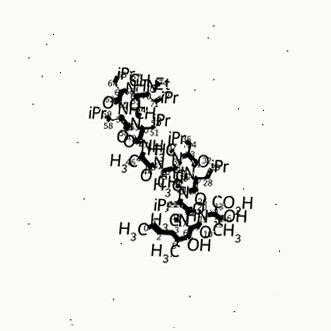 CC=CC[C@@H](C)[C@@H](O)[C@@H](C(=O)N[C@H](C(=O)O)[C@@H](C)O)N(C)C(=O)[C@H](C(C)C)N(C)C(=O)[C@H](CC(C)C)NC(=O)[C@H](CC(C)C)N(C)C(=O)[C@@H](C)NC(=O)[C@H](C)NC(=O)[C@H](CC(C)C)N(C)C(=O)[C@H](CC(C)C)NC(=O)[C@H](CC(C)C)N(C)C(=O)[C@@H](CC(C)C)NCC